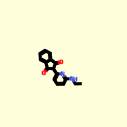 CCNc1cccc(C2C(=O)c3ccccc3C2=O)n1